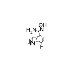 N/C(=N\O)c1ccc(F)c2[nH]ncc12